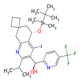 CC(C)c1nc2c(c(I)c1[C@H](O)c1ccc(C(F)(F)F)cn1)[C@@H](O[Si](C)(C)C(C)(C)C)CC1(CCC1)C2